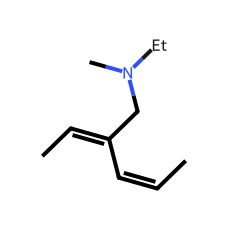 C/C=C\C(=C/C)CN(C)CC